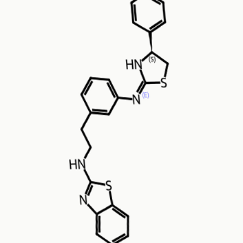 c1ccc([C@H]2CS/C(=N/c3cccc(CCNc4nc5ccccc5s4)c3)N2)cc1